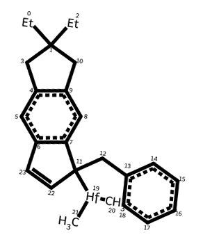 CCC1(CC)Cc2cc3c(cc2C1)[C](Cc1ccccc1)([Hf]([CH3])[CH3])C=C3